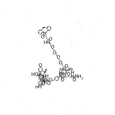 CCC[C@@H]1O[C@@H]2CC3[C@@H]4C[C@H](F)C5=CC(=O)C=C[C@]5(C)[C@@]4(F)[C@@H](O)C[C@]3(C)[C@]2(C(=O)CNC(=O)OCc2ccc(NC(=O)[C@H](CCCNC(N)=O)NC(=O)[C@@H](NC(=O)CCOCCOCCOCCOCCNC(=O)CCC(=O)N3Cc4ccccc4C#Cc4ccccc43)C(C)C)cc2)O1